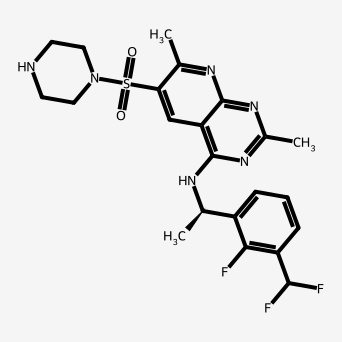 Cc1nc(N[C@H](C)c2cccc(C(F)F)c2F)c2cc(S(=O)(=O)N3CCNCC3)c(C)nc2n1